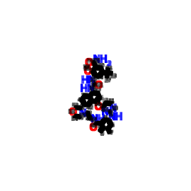 C=C/C(=C\C(=C/CC)Nc1nccc(Oc2ccc(NC(=O)Nc3cc(C(C)(C)C)cc(C(N)=O)c3OC)c3ccccc23)n1)C(=O)NCCN1CCOCC1